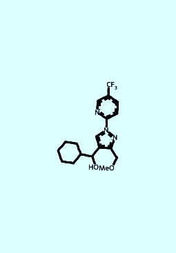 COCc1nn(-c2ccc(C(F)(F)F)cn2)cc1C(O)C1CCCCC1